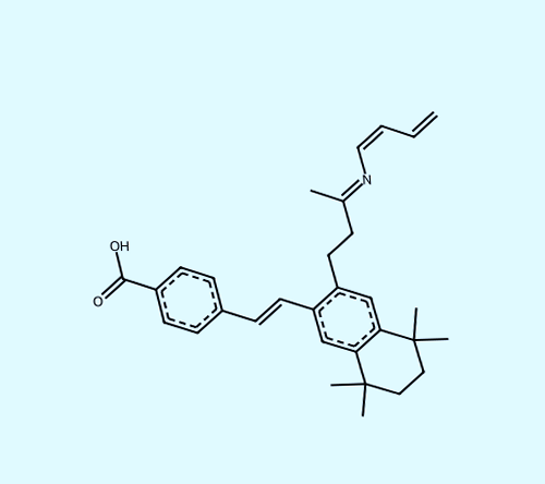 C=C/C=C\N=C(/C)CCc1cc2c(cc1/C=C/c1ccc(C(=O)O)cc1)C(C)(C)CCC2(C)C